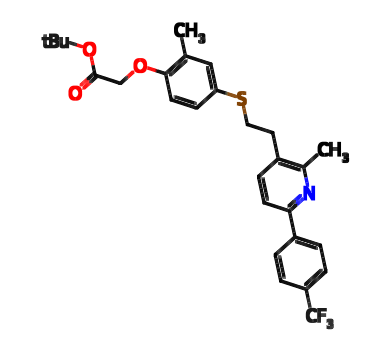 Cc1cc(SCCc2ccc(-c3ccc(C(F)(F)F)cc3)nc2C)ccc1OCC(=O)OC(C)(C)C